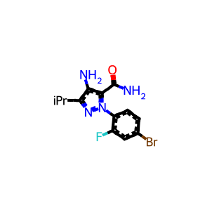 CC(C)c1nn(-c2ccc(Br)cc2F)c(C(N)=O)c1N